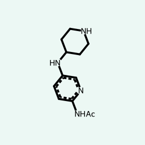 CC(=O)Nc1ccc(NC2CCNCC2)cn1